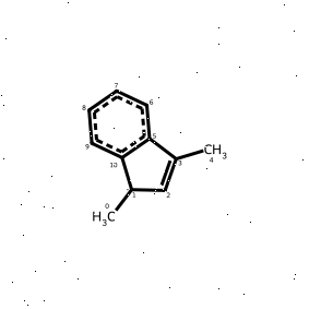 C[C]1C=C(C)c2ccccc21